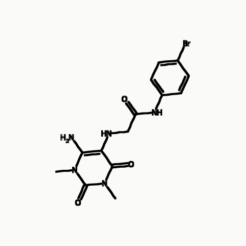 Cn1c(N)c(NCC(=O)Nc2ccc(Br)cc2)c(=O)n(C)c1=O